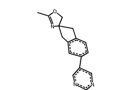 CC1=NC2(CO1)Cc1ccc(-c3cncnc3)cc1C2